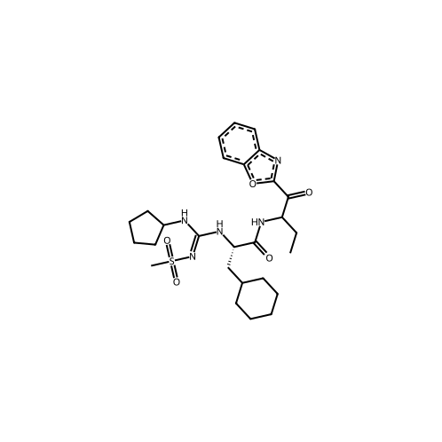 CCC(NC(=O)[C@H](CC1CCCCC1)N/C(=N/S(C)(=O)=O)NC1CCCC1)C(=O)c1nc2ccccc2o1